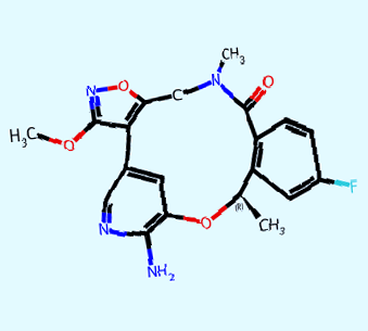 COc1noc2c1-c1cnc(N)c(c1)O[C@H](C)c1cc(F)ccc1C(=O)N(C)C2